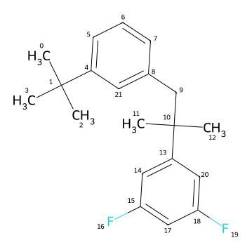 CC(C)(C)c1cccc(CC(C)(C)c2cc(F)cc(F)c2)c1